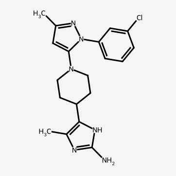 Cc1cc(N2CCC(c3[nH]c(N)nc3C)CC2)n(-c2cccc(Cl)c2)n1